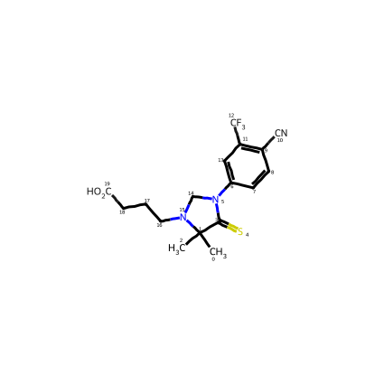 CC1(C)C(=S)N(c2ccc(C#N)c(C(F)(F)F)c2)CN1CCCC(=O)O